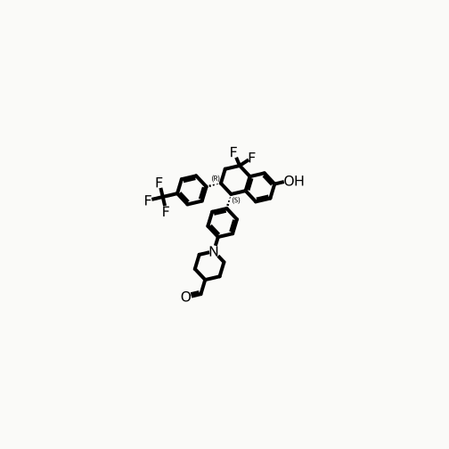 O=CC1CCN(c2ccc([C@H]3c4ccc(O)cc4C(F)(F)C[C@H]3c3ccc(C(F)(F)F)cc3)cc2)CC1